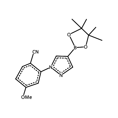 COc1ccc(C#N)c(-n2cc(B3OC(C)(C)C(C)(C)O3)cn2)c1